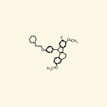 COc1ccc2c(c1)CCC1=C2C(c2ccc(OCCN3CCCCC3)cc2)c2cc(F)c(OC)cc21